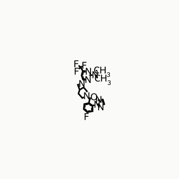 CN(C)c1nc(N2CC3CCN(C(=O)c4ccc(F)cc4-n4nccn4)CC32)cc(C(F)(F)F)n1